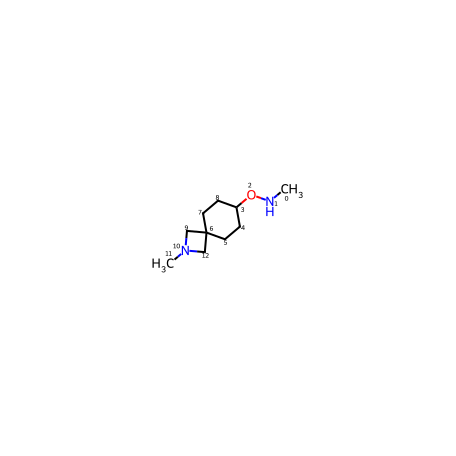 CNOC1CCC2(CC1)CN(C)C2